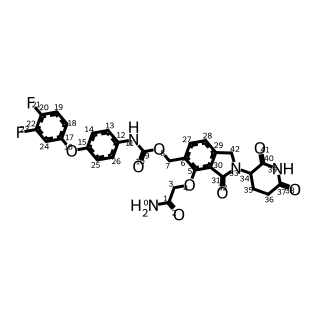 NC(=O)COc1c(COC(=O)Nc2ccc(Oc3ccc(F)c(F)c3)cc2)ccc2c1C(=O)N(C1CCC(=O)NC1=O)C2